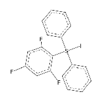 Fc1cc(F)c(S(I)(c2ccccc2)c2ccccc2)c(F)c1